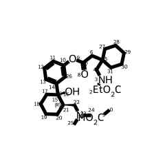 CC(=O)O.CCOC(=O)NCC1(CC(=O)Oc2cccc([C@@]3(O)CCCC[C@@H]3CN(C)C)c2)CCCCC1